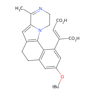 CC1=NCCn2c1cc1c2-c2c(cc(OC(C)(C)C)cc2C(=CC(=O)O)C(=O)O)CC1